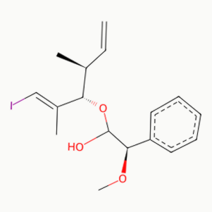 C=C[C@H](C)[C@H](OC(O)[C@H](OC)c1ccccc1)/C(C)=C/I